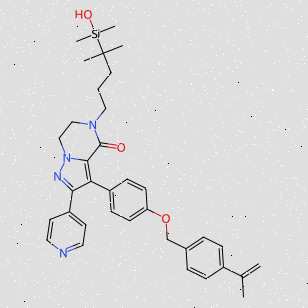 C=C(C)c1ccc(COc2ccc(-c3c(-c4ccncc4)nn4c3C(=O)N(CCCC(C)(C)[Si](C)(C)O)CC4)cc2)cc1